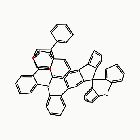 c1ccc(-c2ccc(-c3ccccc3N(c3ccccc3-c3ccc4c(c3)C3(c5ccccc5Oc5ccccc53)c3ccccc3-4)c3cccc4ccccc34)cc2)cc1